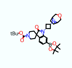 CC(C)(C)OC(=O)N1CCC2(CC1)C(=O)N([C@H]1C[C@@H](N3C4CCC3COC4)C1)c1cc(B3OC(C)(C)C(C)(C)O3)ccc12